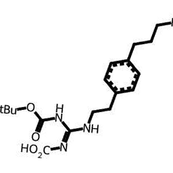 CC(C)(C)OC(=O)N/C(=N\C(=O)O)NCCc1ccc(CCCF)cc1